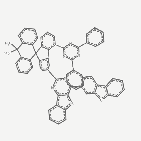 CC1(C)c2ccccc2C2(c3ccc(-c4nc(-c5ccc6c(c5)oc5ccccc56)c5sc6ccccc6c5n4)cc3-c3c(-c4nc(-c5ccccc5)nc(-c5ccccc5)n4)cccc32)c2ccccc21